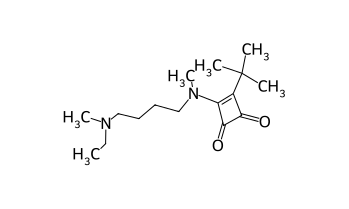 CCN(C)CCCCN(C)c1c(C(C)(C)C)c(=O)c1=O